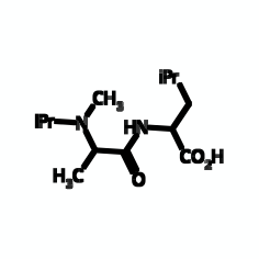 CC(C)CC(NC(=O)C(C)N(C)C(C)C)C(=O)O